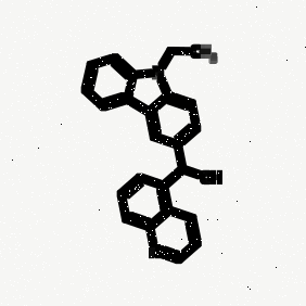 CCn1c2ccccc2c2cc(C(O)c3cccc4ncccc34)ccc21